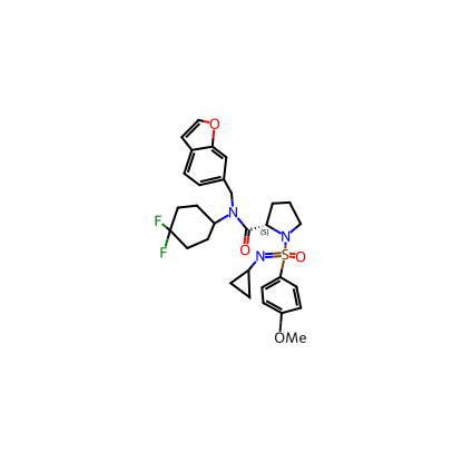 COc1ccc(S(=O)(=NC2CC2)N2CCC[C@H]2C(=O)N(Cc2ccc3ccoc3c2)C2CCC(F)(F)CC2)cc1